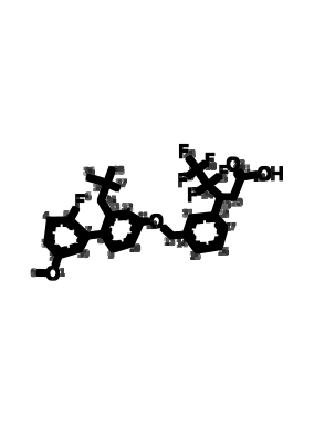 COc1ccc(F)c(-c2ccc(OCc3cccc(C(CC(=O)O)C(F)(F)C(F)(F)F)c3)cc2CC(C)(C)C)c1